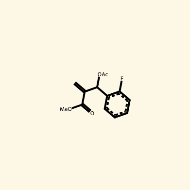 C=C(C(=O)OC)C(OC(C)=O)c1ccccc1F